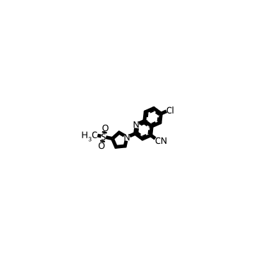 CS(=O)(=O)C1CCN(c2cc(C#N)c3cc(Cl)ccc3n2)C1